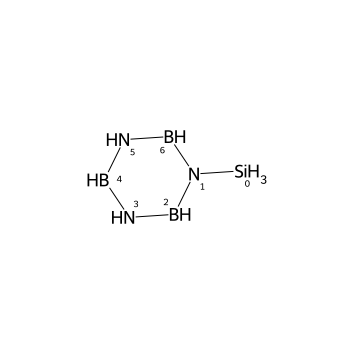 [SiH3]N1BNBNB1